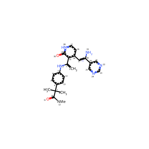 C=C(Nc1ccc(C(C)(C)C(=O)NC)cc1)c1c(/C=C(\N)c2cncnc2)cc[nH]c1=O